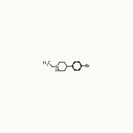 CC[SiH]1CCC(c2ccc(Br)cc2)CC1